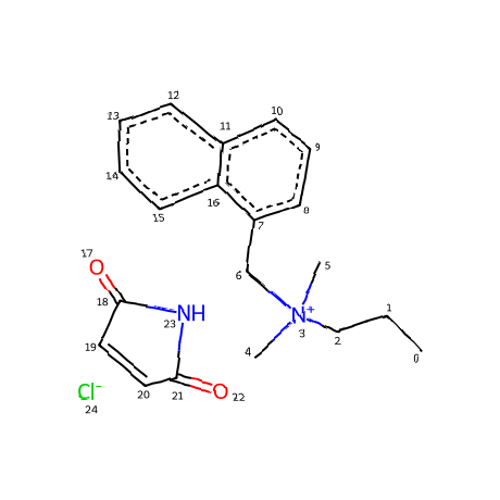 CCC[N+](C)(C)Cc1cccc2ccccc12.O=C1C=CC(=O)N1.[Cl-]